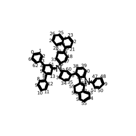 c1ccc(-c2cc(-c3ccccc3)cc(N(c3ccc(-c4cccc5ccccc45)cc3)c3cccc(-c4cccc5c4c4c(n5-c5ccccc5)-c5ccccc5CC4)c3)c2)cc1